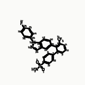 NS(=O)(=O)c1ccc(-c2cccc(C(F)(F)F)c2-c2ccc3c(cnn3-c3ccc(F)cc3)c2)cc1